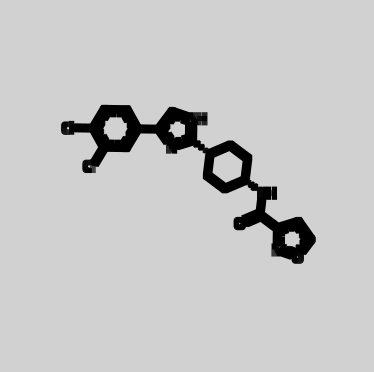 O=C(N[C@H]1CC[C@@H](c2nc(-c3ccc(Cl)c(Cl)c3)c[nH]2)CC1)c1ccon1